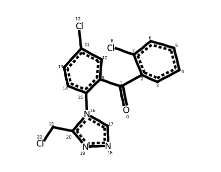 O=C(c1ccccc1Cl)c1cc(Cl)ccc1-n1cnnc1CCl